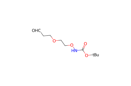 CC(C)(C)OC(=O)NOCCOCCC=O